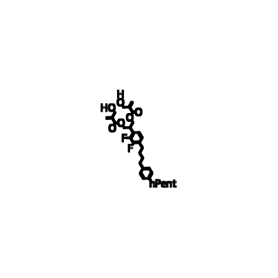 C=C(CO)C(=O)OCC(COC(=O)C(=C)CO)c1ccc(CCCCc2ccc(CCCCC)cc2)c(F)c1F